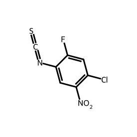 O=[N+]([O-])c1cc(N=C=S)c(F)cc1Cl